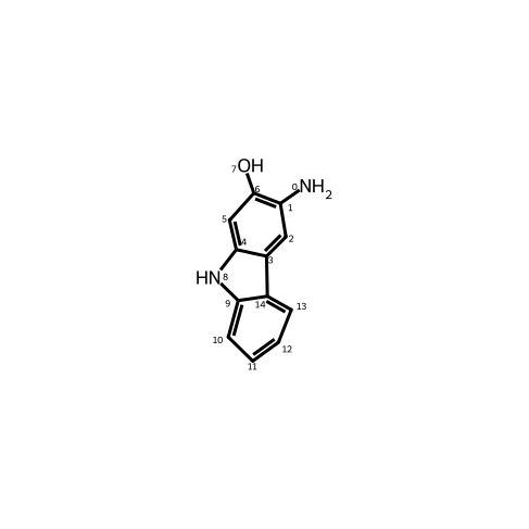 Nc1cc2c(cc1O)[nH]c1ccccc12